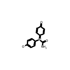 NC(=O)[N+](=C1C=CC(=O)C=C1)c1ccc([O-])cc1